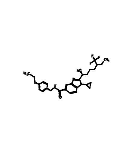 CCSc1ccc(CNC(=O)c2ccc3c(c2)nc([C@@H](O)CCCC(CC)C(F)(F)F)n3C2CC2)cc1